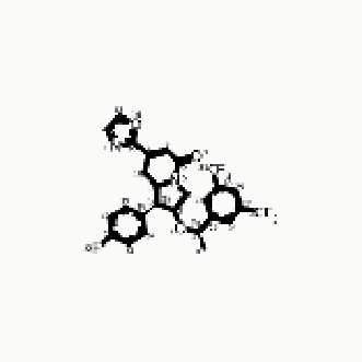 C[C@@H](OC1CN2C(=O)C=C(c3ncco3)CC2[C@@H]1c1ccc(F)cc1)c1cc(C(F)(F)F)cc(C(F)(F)F)c1